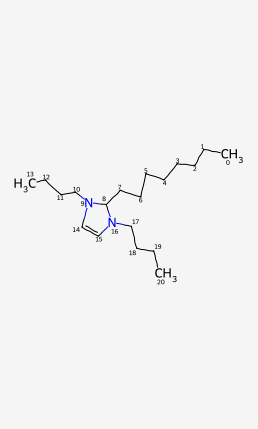 CCCCCCCCC1N(CCCC)C=CN1CCCC